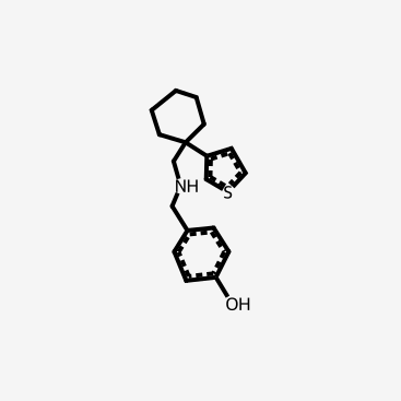 Oc1ccc(CNCC2(c3ccsc3)CCCCC2)cc1